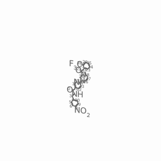 O=C(NCc1ccc([N+](=O)[O-])cc1)c1ccc(N2C=CCN(C(=O)c3ccccc3C(F)(F)F)C2)nc1